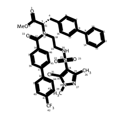 COC(=O)[C@H](Cc1ccc(-c2ccccc2)cc1)N(CCNS(=O)(=O)c1c(C)nn(C)c1Cl)C(=O)c1ccc(-c2ccc(C(F)(F)F)cc2)cc1